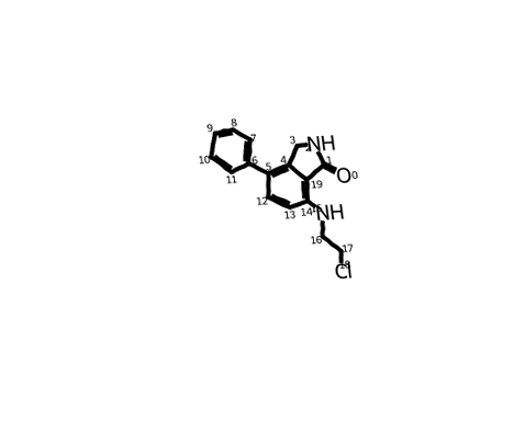 O=C1NCc2c(-c3ccccc3)ccc(NCCCl)c21